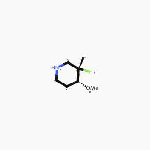 CO[C@@H]1CCNC[C@]1(C)F